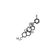 CC1CCC2(C)C(CC[C@@H]3C2CC[C@]2(C)C(Nc4cccc(F)c4)CCC32)C1